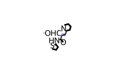 O=[C]/C(=C\c1ccccn1)C(=O)Nc1cccs1